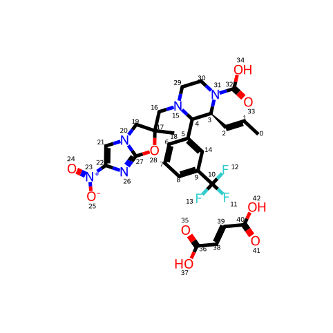 CC=C[C@H]1C(c2cccc(C(F)(F)F)c2)N(CC2(C)Cn3cc([N+](=O)[O-])nc3O2)CCN1C(=O)O.O=C(O)C=CC(=O)O